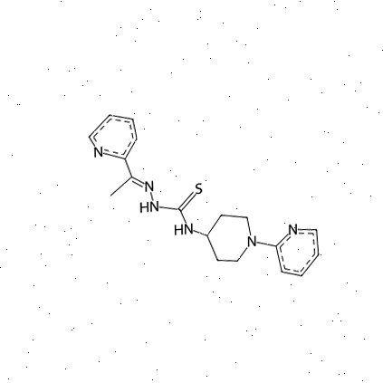 C/C(=N\NC(=S)NC1CCN(c2ccccn2)CC1)c1ccccn1